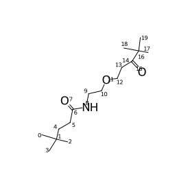 CC(C)(C)CCC(=O)NCCOCCC(=O)C(C)(C)C